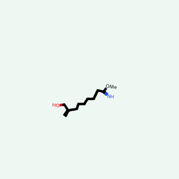 C=C(CO)CCCCCCC(=N)OC